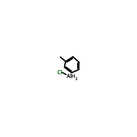 Cc1ccccc1.[AlH2][Cl]